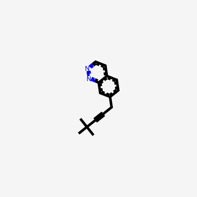 CC(C)(C)C#CCc1ccc2ccnnc2c1